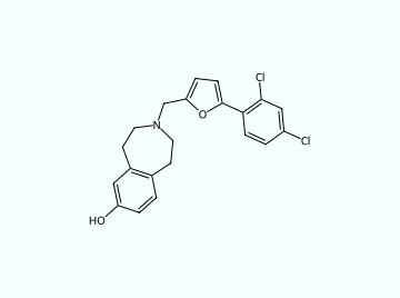 Oc1ccc2c(c1)CCN(Cc1ccc(-c3ccc(Cl)cc3Cl)o1)CC2